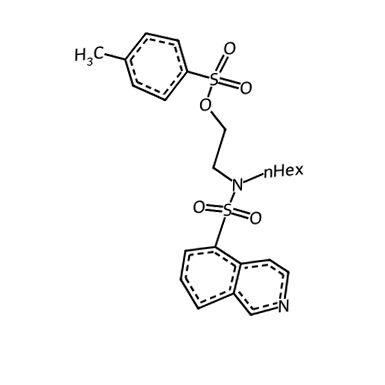 CCCCCCN(CCOS(=O)(=O)c1ccc(C)cc1)S(=O)(=O)c1cccc2cnccc12